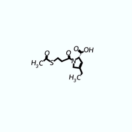 CCC1=C[C@@H](C(=O)O)N(C(=O)CCSC(C)=O)C1